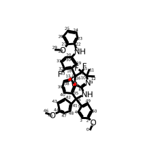 COc1ccc(C(NC2=NC(C)(C)C(F)(F)[C@@](C)(c3cc(Nc4ccccc4OC)ccc3F)O2)(c2ccccc2)c2ccc(OC)cc2)cc1